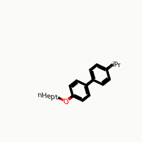 CCCCCCCOc1ccc(-c2ccc(C(C)C)cc2)cc1